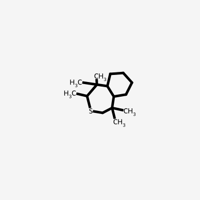 CC1SCC(C)(C)C2CCCCC2C1(C)C